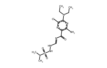 CCN(CC)c1nc(N)c(C(=O)N=CNNS(=O)(=O)N(C)C)nc1Cl